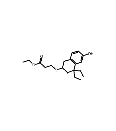 CCOC(=O)CCSC1[CH]C(CC)(CC)c2cc(O)ccc2C1